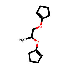 CC(COC1=CCCC1)OC1=CCCC1